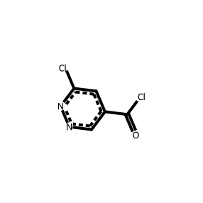 O=C(Cl)c1cnnc(Cl)c1